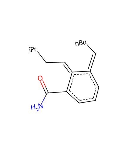 CCCC/C=c1/cccc(C(N)=O)/c1=C\CC(C)C